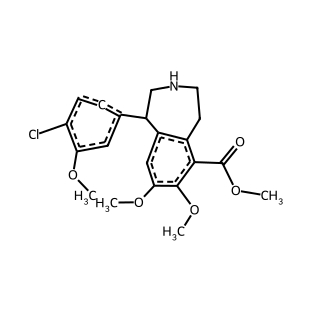 COC(=O)c1c2c(cc(OC)c1OC)C(c1ccc(Cl)c(OC)c1)CNCC2